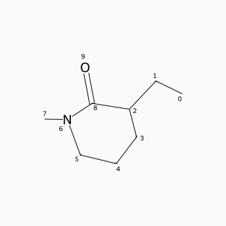 CCC1CCCN(C)C1=O